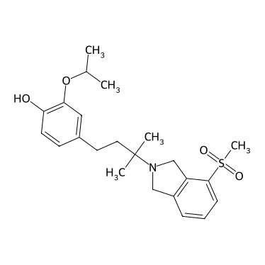 CC(C)Oc1cc(CCC(C)(C)N2Cc3cccc(S(C)(=O)=O)c3C2)ccc1O